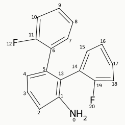 Nc1cccc(-c2ccccc2F)c1-c1ccccc1F